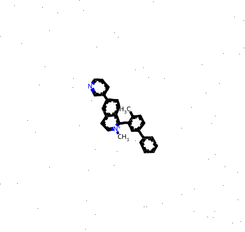 Cc1ccc(-c2ccccc2)cc1-c1c2ccc(-c3cccnc3)cc2cc[n+]1C